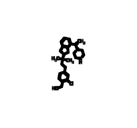 C=C(c1cccc2c1CN(C(C)(C)CCc1ccc(CO)c(Cl)c1)C2)N1CCNCC1